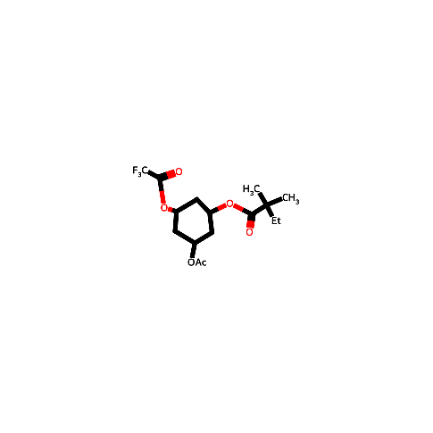 CCC(C)(C)C(=O)OC1CC(OC(C)=O)CC(OC(=O)C(F)(F)F)C1